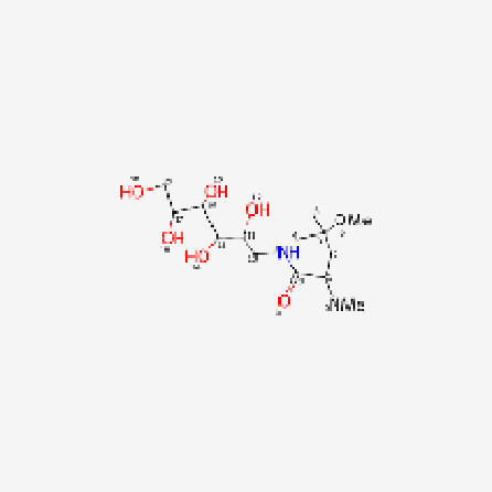 CNC(CC(C)(C)OC)C(=O)NCC(O)C(O)C(O)C(O)CO